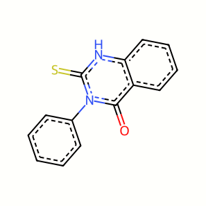 O=c1c2ccccc2[nH]c(=S)n1-c1ccccc1